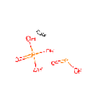 O=P(O)(O)O.O=PO.[Co]